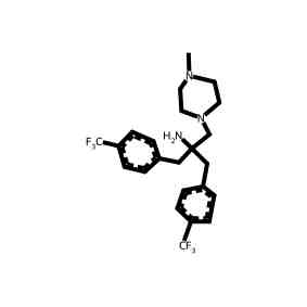 CN1CCN(CC(N)(Cc2ccc(C(F)(F)F)cc2)Cc2ccc(C(F)(F)F)cc2)CC1